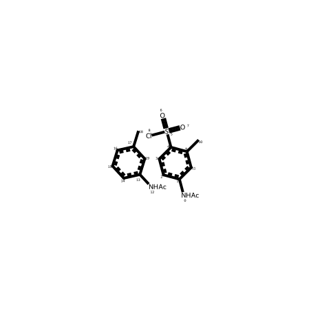 CC(=O)Nc1ccc(S(=O)(=O)Cl)c(C)c1.CC(=O)Nc1cccc(C)c1